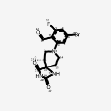 C[C@@H]1CN(c2cc(Br)cc(F)c2C=O)CC[C@]12NC(=O)NC2=O